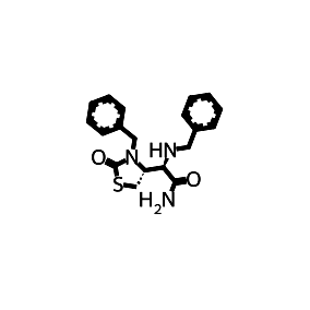 NC(=O)[C@H](NCc1ccccc1)[C@@H]1CSC(=O)N1Cc1ccccc1